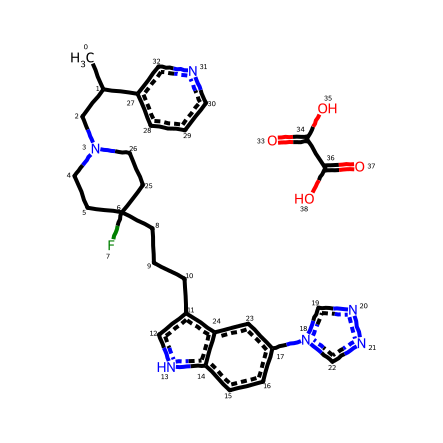 CC(CN1CCC(F)(CCCc2c[nH]c3ccc(-n4cnnc4)cc23)CC1)c1cccnc1.O=C(O)C(=O)O